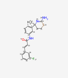 CC1(c2cccc(NC(=O)/C=C/c3cccc(F)c3)c2)CCSC(N)=N1